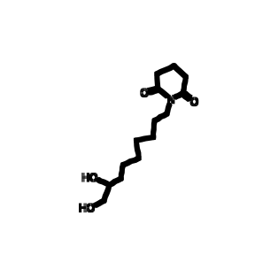 O=C1CCCC(=O)N1CCCCCCCC(O)CO